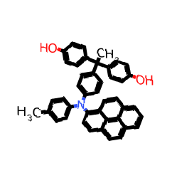 Cc1ccc(N(c2ccc(C(C)(c3ccc(O)cc3)c3ccc(O)cc3)cc2)c2ccc3ccc4cccc5ccc2c3c45)cc1